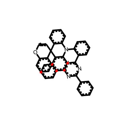 c1ccc(-c2nc(-c3ccccc3)nc(-c3ccccc3N3c4ccccc4C4(c5ccccc5Oc5ccccc54)c4ccccc43)n2)cc1